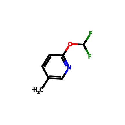 [CH2]c1ccc(OC(F)F)nc1